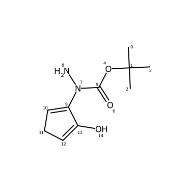 CC(C)(C)OC(=O)N(N)C1=CCC=C1O